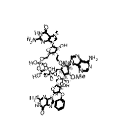 COCC[C@H]1[C@@H](O)[C@H](n2c[n+](C)c3c(=O)[nH]c(N)nc32)O[C@@H]1COP(=O)(O)OP(=O)(O)OP(=O)(O)OC[C@H]1O[C@@H](n2cnc3c(N)ncnc32)[C@H](OC)[C@@H]1P(=O)([O-])OC[C@H]1O[C@@H](n2cnc3c(=O)[nH]c(N)nc32)[C@H](Oc2ccccc2)[C@@H]1O